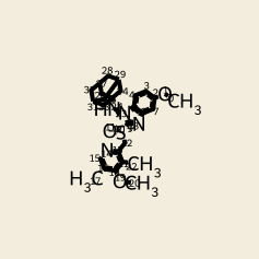 COc1ccc2c(c1)nc([S@@+]([O-])Cc1ncc(C)c(OC)c1C)n2NC12CC3CC(CC(C3)C1)C2